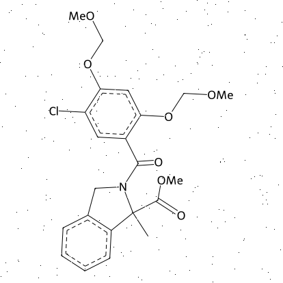 COCOc1cc(OCOC)c(C(=O)N2Cc3ccccc3C2(C)C(=O)OC)cc1Cl